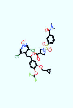 CN(C)C(=O)c1cccc(S(=O)(=O)N2CC(C(=O)OC(Cc3c(Cl)c[n+]([O-])cc3Cl)c3ccc(OC(F)F)c(OCC4CC4)c3)C2)c1